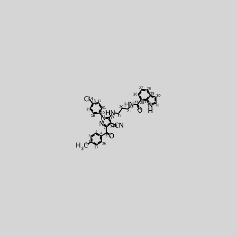 Cc1ccc(C(=O)c2nn(-c3ccc(Cl)cc3)c(NCCCNC(=O)c3cccc4cc[nH]c34)c2C#N)cc1